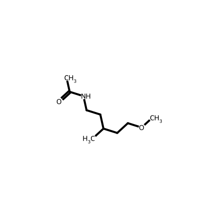 COCCC(C)CCNC(C)=O